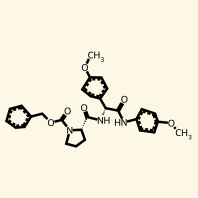 COc1ccc(NC(=O)[C@H](NC(=O)[C@@H]2CCCN2C(=O)OCc2ccccc2)c2ccc(OC)cc2)cc1